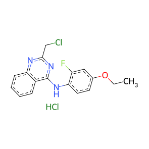 CCOc1ccc(Nc2nc(CCl)nc3ccccc23)c(F)c1.Cl